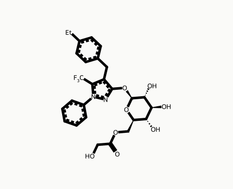 CCc1ccc(Cc2c(O[C@@H]3O[C@H](COC(=O)CO)[C@@H](O)[C@H](O)[C@H]3O)nn(-c3ccccc3)c2C(F)(F)F)cc1